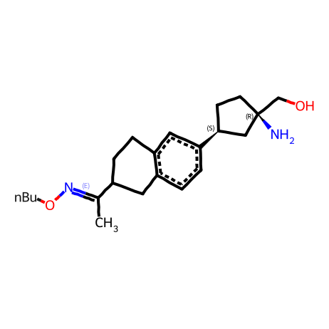 CCCCO/N=C(\C)C1CCc2cc([C@H]3CC[C@](N)(CO)C3)ccc2C1